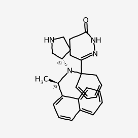 C[C@H](c1cccc2ccccc12)N([C@H]1CCNC1)C1(C2=NNC(=O)CC2)C=CC=CC1